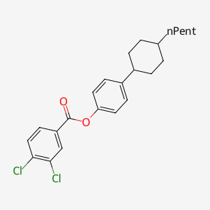 CCCCCC1CCC(c2ccc(OC(=O)c3ccc(Cl)c(Cl)c3)cc2)CC1